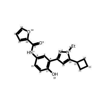 CCn1nc(-c2cc(NC(=O)c3ccco3)ccc2O)cc1C1CCC1